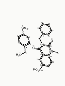 COc1ccc(CN)cc1.Cn1c(=O)n(Cc2ccccc2)c(=O)c2cc(C(=O)O)ccc21